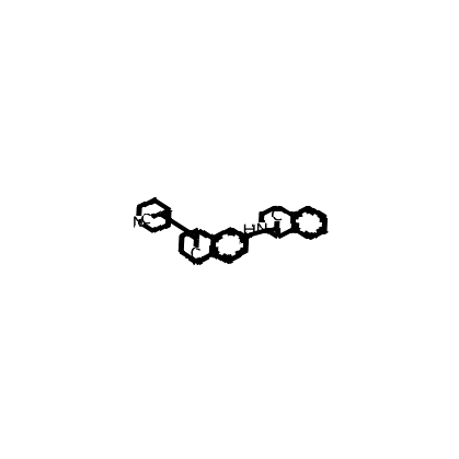 c1ccc2c(c1)C1CNC2C(c2ccc3c(c2)C2CCC3CC2C2CN3CCC2CC3)C1